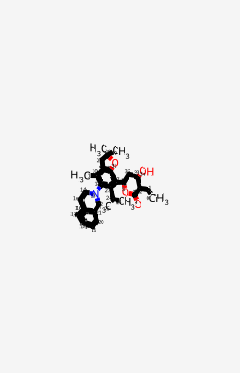 CCC1C(=O)OC(c2c3c(c(C)c(N4CCc5ccccc5C4)c2C(C)C)CC(C)(C)O3)CC1O